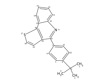 CC(C)(C)c1ccc(-c2nc3ccccc3c3sccc23)cc1